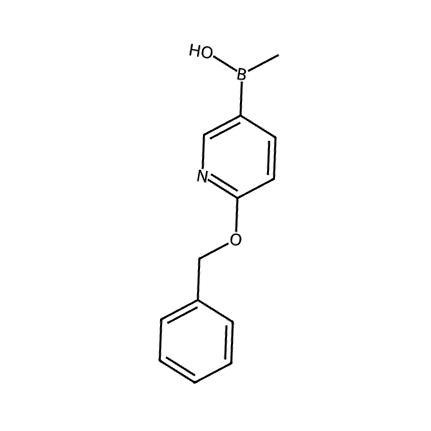 CB(O)c1ccc(OCc2ccccc2)nc1